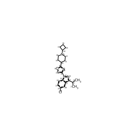 CC(C)c1nn(-c2noc(C3CCN(C4CCC4)CC3)n2)c2ccc(Cl)cc12